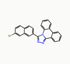 Brc1ccc2ccc(-c3nnc4c5ccccc5c5ccccc5n34)cc2c1